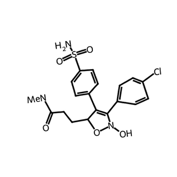 CNC(=O)CCC1ON(O)C(c2ccc(Cl)cc2)=C1c1ccc(S(N)(=O)=O)cc1